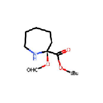 CC(C)(C)OC(=O)[C@@]1(OC=O)CCCCCN1